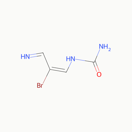 N=C/C(Br)=C\NC(N)=O